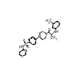 Cc1cccc(NC(C)C(=O)N2CCN(c3ccc(S(=O)(=O)Nc4ccncn4)cc3)CC2)c1